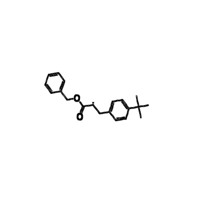 CC(C)(C)c1ccc(C[CH]C(=O)OCc2ccccc2)cc1